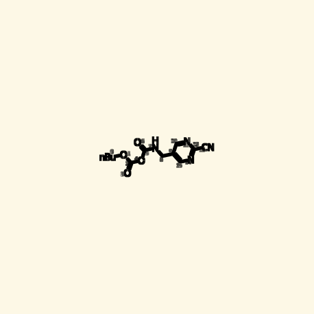 CCCCOC(=O)OC(=O)NCc1cnc(C#N)nc1